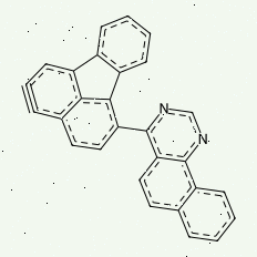 c1cc2c3c(c(-c4ncnc5c4ccc4ccccc45)ccc3c#1)-c1ccccc1-2